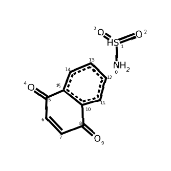 N[SH](=O)=O.O=C1C=CC(=O)c2ccccc21